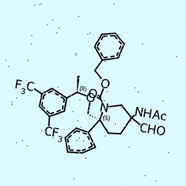 CC(=O)NC1(C=O)CC[C@@](CO[C@H](C)c2cc(C(F)(F)F)cc(C(F)(F)F)c2)(c2ccccc2)N(C(=O)OCc2ccccc2)C1